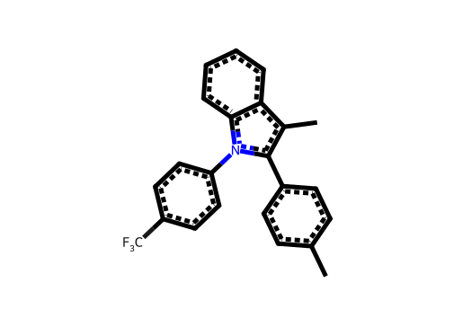 Cc1ccc(-c2c(C)c3ccccc3n2-c2ccc(C(F)(F)F)cc2)cc1